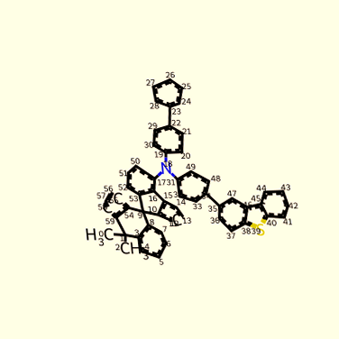 CC1(C)c2ccccc2C2(c3ccccc3-c3c(N(c4ccc(-c5ccccc5)cc4)c4ccc(-c5ccc6sc7ccccc7c6c5)cc4)cccc32)c2ccccc21